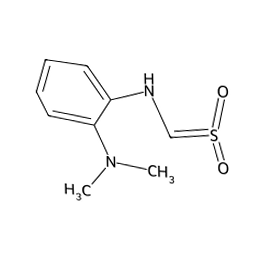 CN(C)c1ccccc1NC=S(=O)=O